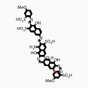 COc1ccc(N=Nc2c(S(=O)(=O)O)cc3cc(N=Nc4c(S(=O)(=O)O)cc5cc(S(=O)(=O)O)c(/N=N\c6ccc7c(O)c(/N=N\c8ccc(OC)cc8S(=O)(=O)O)c(S(=O)(=O)O)cc7c6)c(O)c5c4N)ccc3c2O)c(S(=O)(=O)O)c1